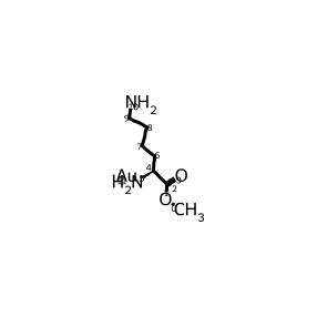 COC(=O)[C@@H](N)CCCCN.[Au]